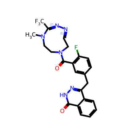 CN1CCN(C(=O)c2cc(Cc3n[nH]c(=O)c4ccccc34)ccc2F)C/C=N/N=C\1C(F)(F)F